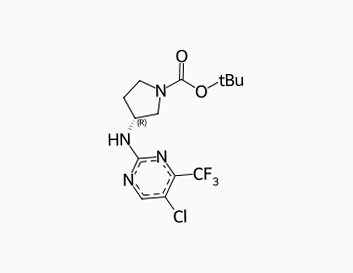 CC(C)(C)OC(=O)N1CC[C@@H](Nc2ncc(Cl)c(C(F)(F)F)n2)C1